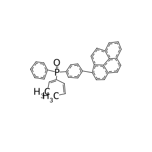 C/C=C\C(=C/C)P(=O)(c1ccccc1)c1ccc(-c2ccc3ccc4cccc5ccc2c3c45)cc1